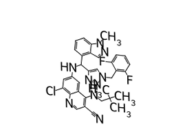 Cn1ncc2c(C(Nc3cc(Cl)c4ncc(C#N)c(NCC(C)(C)C)c4c3)c3cn(Cc4c(F)cccc4F)nn3)cccc21